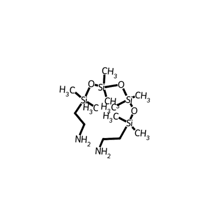 C[Si](C)(CCN)O[Si](C)(C)O[Si](C)(C)O[Si](C)(C)CCN